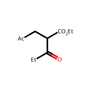 CCOC(=O)C(CC(C)=O)C(=O)CC